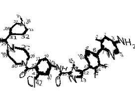 Cc1cc(N)cnc1-c1ccc(-c2cnc(C(=O)Nc3ccc(C(=O)N4CCN(C(=O)C5CC[N+](C)(C)CC5)CC4)c(Cl)c3)n2C)c(F)c1F